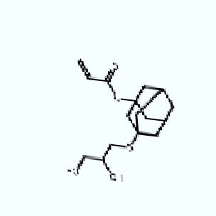 C=CC(=O)OC12CC3CC(CC(OCC(O)CO)(C3)C1)C2